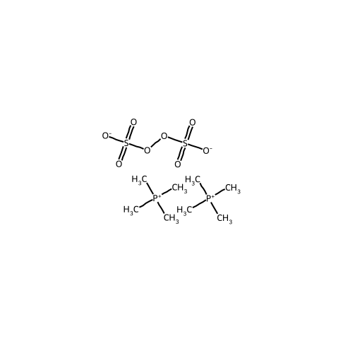 C[P+](C)(C)C.C[P+](C)(C)C.O=S(=O)([O-])OOS(=O)(=O)[O-]